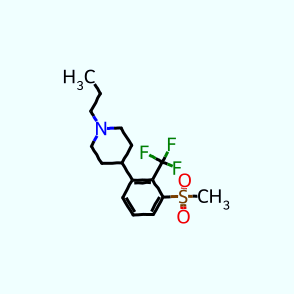 CCCN1CCC(c2cccc(S(C)(=O)=O)c2C(F)(F)F)CC1